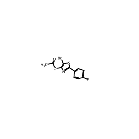 CC(=O)Oc1nc(-c2ccc(F)cc2)sc1Br